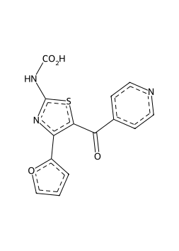 O=C(O)Nc1nc(-c2ccco2)c(C(=O)c2ccncc2)s1